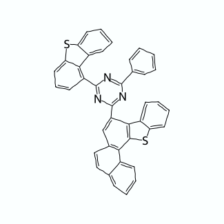 c1ccc(-c2nc(-c3cccc4sc5ccccc5c34)nc(-c3cc4ccc5ccccc5c4c4sc5ccccc5c34)n2)cc1